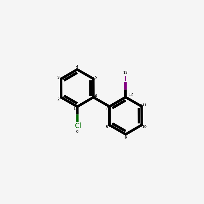 Clc1ccccc1-c1ccc[c]c1I